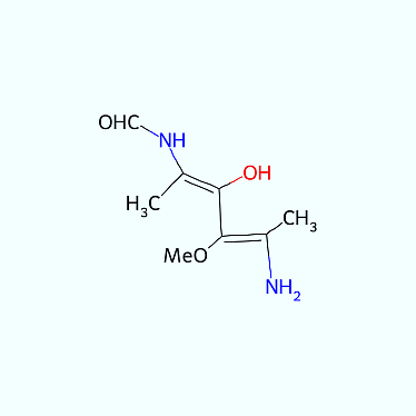 COC(=C(/C)N)/C(O)=C(\C)NC=O